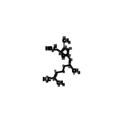 CC(C)=CCCC(C)=Cc1cc(C)c(C(=O)O)o1